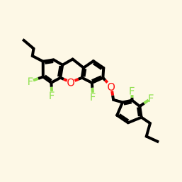 CCCc1ccc(COc2ccc3c(c2F)Oc2c(cc(CCC)c(F)c2F)C3)c(F)c1F